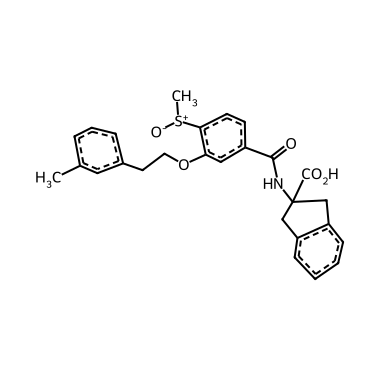 Cc1cccc(CCOc2cc(C(=O)NC3(C(=O)O)Cc4ccccc4C3)ccc2[S+](C)[O-])c1